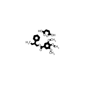 CCC(COC(=O)c1cc(OC)c(OC)c(OC)c1)c1ccccc1.O=C(O)/C=C\C(=O)O